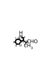 CC(C=O)c1c[nH]c2ccccc12